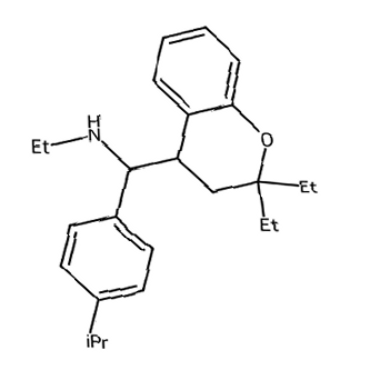 CCNC(c1ccc(C(C)C)cc1)C1CC(CC)(CC)Oc2ccccc21